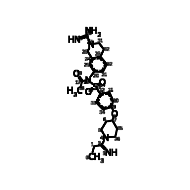 CCC(=N)N1CCC(Oc2ccc(S(=O)(=O)N(C(C)=O)c3ccc4c(c3)CN(C(=N)N)CC4)cc2)CC1